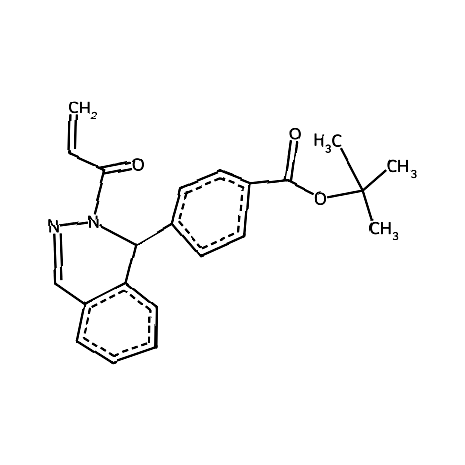 C=CC(=O)N1N=Cc2ccccc2C1c1ccc(C(=O)OC(C)(C)C)cc1